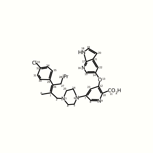 CC(CN1CCN(c2cnc(C(=O)O)c(Oc3cnc4[nH]ccc4c3)c2)CC1)=C(CC(C)C)c1ccc(Cl)cc1